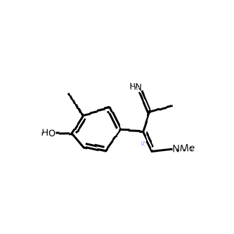 CN/C=C(\C(C)=N)c1ccc(O)c(C)c1